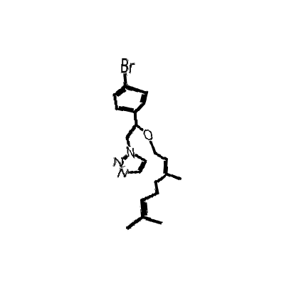 CC(C)=CCCC(C)=CCOC(Cn1ccnn1)c1ccc(Br)cc1